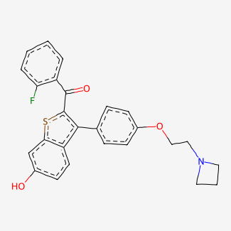 O=C(c1ccccc1F)c1sc2cc(O)ccc2c1-c1ccc(OCCN2CCC2)cc1